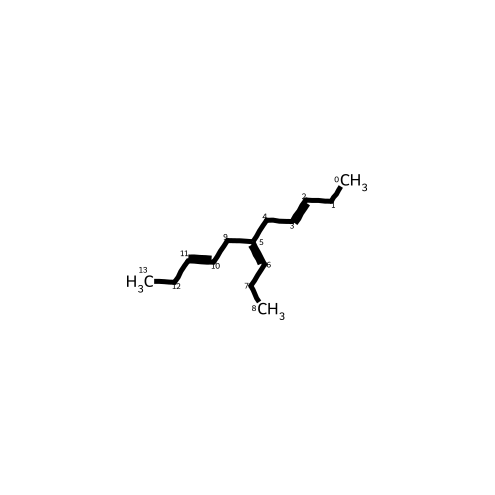 CCC=CCC(=CCC)CC=CCC